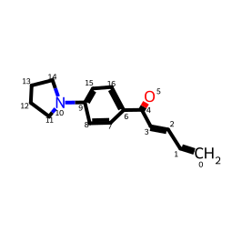 C=CC=CC(=O)c1ccc(N2CCCC2)cc1